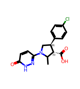 CC1[C@@H](C(=O)O)[C@H](c2ccc(Cl)cc2)CN1c1ccc(=O)[nH]n1